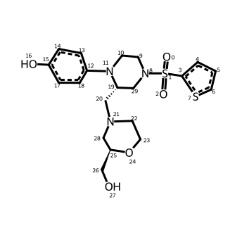 O=S(=O)(c1cccs1)N1CCN(c2ccc(O)cc2)[C@@H](CN2CCO[C@@H](CO)C2)C1